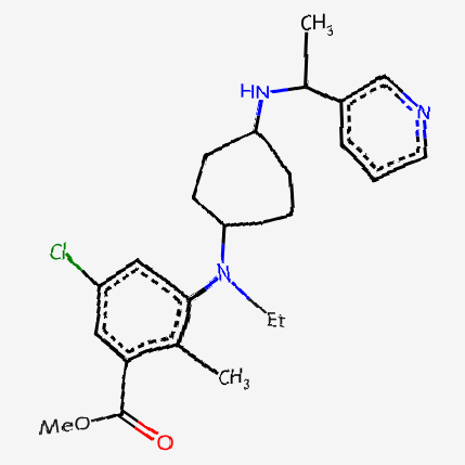 CCN(c1cc(Cl)cc(C(=O)OC)c1C)C1CCC(NC(C)c2cccnc2)CC1